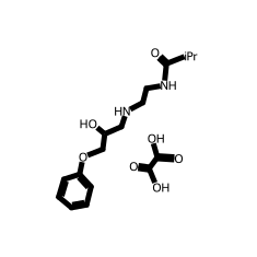 CC(C)C(=O)NCCNCC(O)COc1ccccc1.O=C(O)C(=O)O